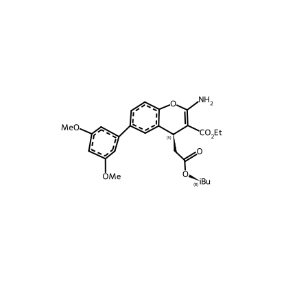 CCOC(=O)C1=C(N)Oc2ccc(-c3cc(OC)cc(OC)c3)cc2[C@@H]1CC(=O)O[C@H](C)CC